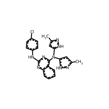 Cc1cc(N(c2cc(C)n[nH]2)c2nc(Nc3ccc(Cl)cc3)nc3ccccc23)[nH]n1